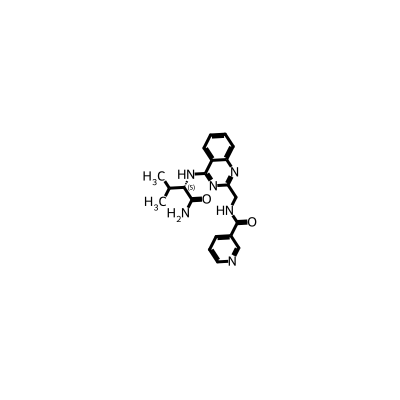 CC(C)[C@H](Nc1nc(CNC(=O)c2cccnc2)nc2ccccc12)C(N)=O